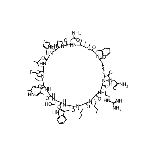 C=C1C=CC(C)NC=C1C[C@@H]1NC(=O)[C@H](CC)N(CCF)C(=O)[C@H](CC(C)C)NC(=O)[C@H](Cc2cnc[nH]2)NC(=O)[C@@H]2CCCN2C(=O)[C@H](CC(N)=O)NC(=O)[C@H](C)N(C)C(=O)[C@H](Cc2ccccc2)NC(=O)CSC[C@@H](C(=O)NCC(N)=O)NC(=O)[C@H](CCCNC(=N)N)NC(=O)[C@H](CCCC)N(C)C(=O)[C@H](CCCC)N(C)C(=O)[C@H](Cc2c[nH]c3ccccc23)NC(=O)[C@H](CO)NC1=O